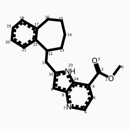 COC(=O)c1ccnc2cc(CC3CCCCc4ccccc43)[nH]c12